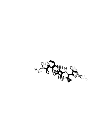 Cc1cn(C)nc1C(Nc1c(Nc2ccnc(C(=O)N(C)C)c2O)c(=O)c1=O)C1(C)CC1